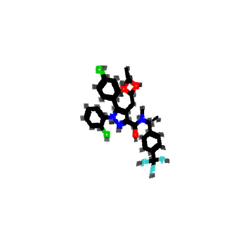 CC1OC(Cc2c(C(=O)N(C)[C@H](C)c3ccc(C(F)(F)F)cc3)nn(-c3ccccc3Cl)c2-c2ccc(Cl)cc2)O1